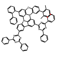 Cc1cc(C)c(-c2ccc3c(c2)B2c4c(cc(-c5ccccc5-c5ccccc5)cc4-n4c5ccc(-c6nc(-c7ccccc7)nc(-c7ccccc7)n6)cc5c5cc(-c6nc(-c7ccccc7)nc(-c7ccccc7)n6)cc2c54)O3)c(C)c1